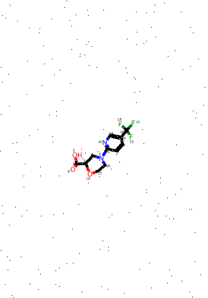 O=C(O)C1CN(c2ccc(C(F)(F)F)cn2)CCO1